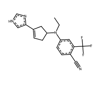 CCN(c1ccc(C#N)c(C(F)(F)F)c1)C1CC=C(c2c[nH]cn2)C1